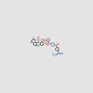 Cc1cc(C)c2cccc(C(O)c3c(Cl)ccc(S(=O)(=O)N4CCCC4C(=O)N4CCN(C(=O)c5ccc(C(=N)N)cc5)CC4)c3Cl)c2n1